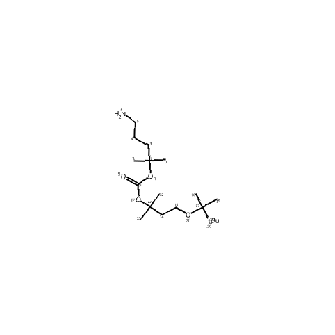 CC(C)(CCCN)OC(=O)OC(C)(C)CCOC(C)(C)C(C)(C)C